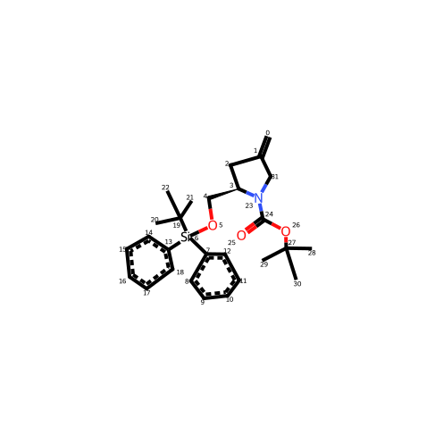 C=C1C[C@H](CO[Si](c2ccccc2)(c2ccccc2)C(C)(C)C)N(C(=O)OC(C)(C)C)C1